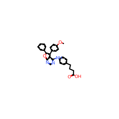 COc1ccc(-c2c(-c3ccccc3)oc3ncnc(Nc4ccc(CCCC(=O)O)cc4)c23)cc1